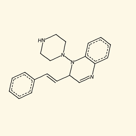 C(=CC1C=Nc2ccccc2N1N1CCNCC1)c1ccccc1